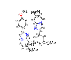 CCOc1ccc(-c2cn3ccc(NC)cc3n2)cc1.CNc1ccn2cc(-c3cc(OC)cc(OC)c3)nc2c1